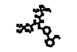 CC(C)(C)OC(=O)NC(=Nc1cccc(-c2ncccc2N)c1)NC(=O)OC(C)(C)C